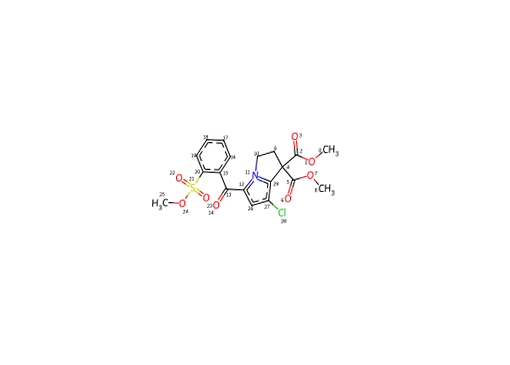 COC(=O)C1(C(=O)OC)CCn2c(C(=O)c3ccccc3S(=O)(=O)OC)cc(Cl)c21